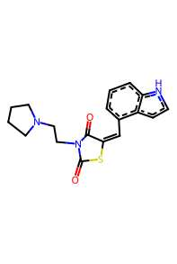 O=C1SC(=Cc2cccc3[nH]ccc23)C(=O)N1CCN1CCCC1